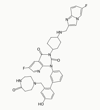 O=C1CCN(Cc2cc(O)ccc2-c2cccc(-n3c(=O)n(C4CCC(NCc5cn6cc(F)ccc6n5)CC4)c(=O)c4cc(F)cnc43)c2)CCN1